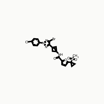 CS(=O)(=O)C1(c2ccc(C(=O)NC34CC(c5nn(-c6ccc(Cl)cc6)nc5Br)(C3)C4)o2)CC1